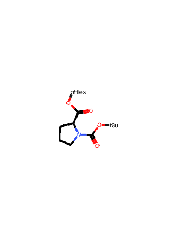 CCCCCCOC(=O)C1CCCN1C(=O)OC(C)(C)C